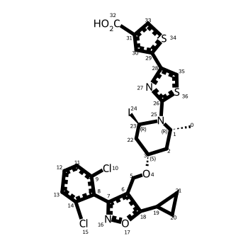 C[C@@H]1C[C@H](OCc2c(-c3c(Cl)cccc3Cl)noc2C2CC2)C[C@@H](I)N1c1nc(-c2cc(C(=O)O)cs2)cs1